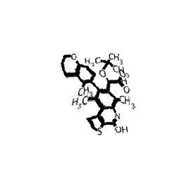 Cc1c(-c2c([C@H](OC(C)(C)C)C(=O)O)c(C)c3nc(O)c4sccc4c3c2C)ccc2c1CCCO2